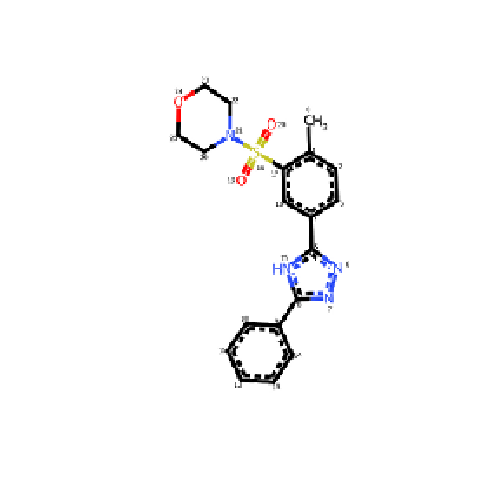 Cc1ccc(-c2nnc(-c3ccccc3)[nH]2)cc1S(=O)(=O)N1CCOCC1